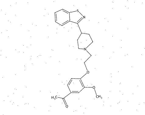 COc1cc(C(C)=O)ccc1OCCN1CCC(c2nsc3ccccc23)CC1